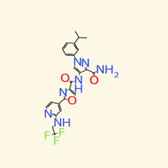 CC(C)c1cccc(-n2cc(NC(=O)c3coc(-c4ccnc(NCC(F)(F)F)c4)n3)c(C(N)=O)n2)c1